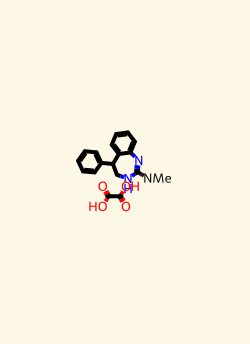 CNC1=Nc2ccccc2C(c2ccccc2)CN1.O=C(O)C(=O)O